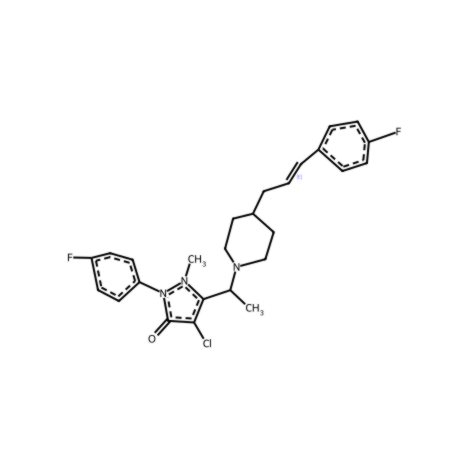 CC(c1c(Cl)c(=O)n(-c2ccc(F)cc2)n1C)N1CCC(C/C=C/c2ccc(F)cc2)CC1